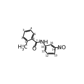 Cc1ccccc1C(=O)Nc1cccc(N=O)c1